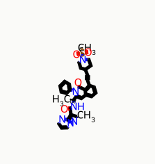 Cc1nn2cccnc2c1C(=O)N[C@@H](C)c1cc2cccc(C#CC3CCN(S(C)(=O)=O)CC3)c2c(=O)n1-c1ccccc1